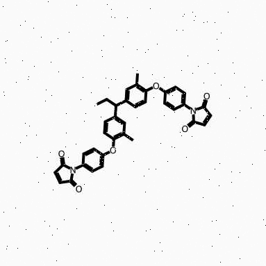 CCC(c1ccc(Oc2ccc(N3C(=O)C=CC3=O)cc2)c(C)c1)c1ccc(Oc2ccc(N3C(=O)C=CC3=O)cc2)c(C)c1